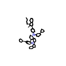 C=C/C=C\c1c(C)c(-c2ccc(N(c3cccc(-c4ccccc4)c3)C3C=CC(c4cc(-c5ccccc5)ccc4-n4c5ccccc5c5ccc6ccccc6c54)=CC3)cc2)cc2ccccc12